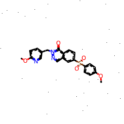 COc1ccc(S(=O)(=O)c2ccc3c(=O)n(Cc4ccc(OC)nc4)ncc3c2)cc1